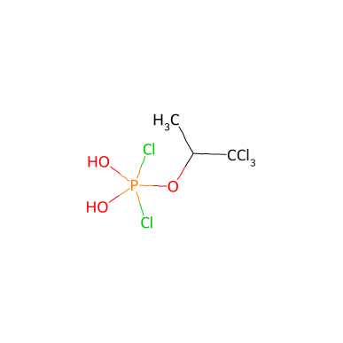 CC(OP(O)(O)(Cl)Cl)C(Cl)(Cl)Cl